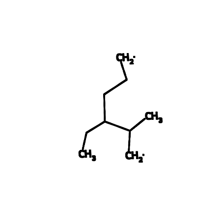 [CH2]CCC(CC)C([CH2])C